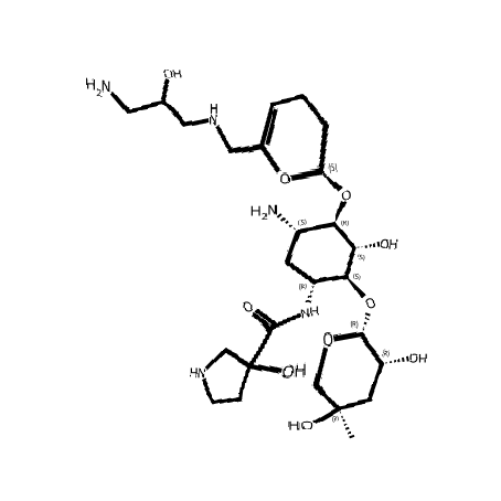 C[C@]1(O)CO[C@H](O[C@@H]2[C@@H](O)[C@H](O[C@@H]3CCC=C(CNCC(O)CN)O3)[C@@H](N)C[C@H]2NC(=O)C2(O)CCNC2)[C@H](O)C1